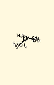 CN1CCN(CCCCC(C)(C)C)CCN(CCCCC(C)(C)C)CC1